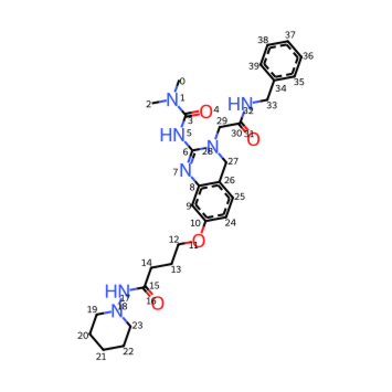 CN(C)C(=O)NC1=Nc2cc(OCCCC(=O)NN3CCCCC3)ccc2CN1CC(=O)NCc1ccccc1